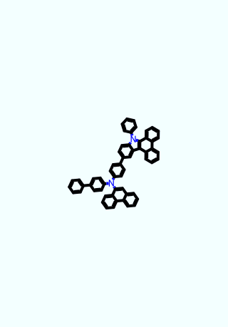 c1ccc(-c2ccc(N(c3ccc(-c4ccc5c(c4)c4c6ccccc6c6ccccc6c4n5-c4ccccc4)cc3)c3cc4ccccc4c4ccccc34)cc2)cc1